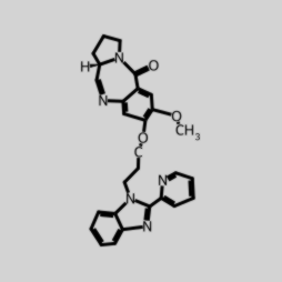 COc1cc2c(cc1OCCCn1c(-c3ccccn3)nc3ccccc31)N=C[C@@H]1CCCN1C2=O